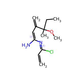 C=C/C(Cl)=N\C(N)=C/C(=C)C(C)(CC)OC